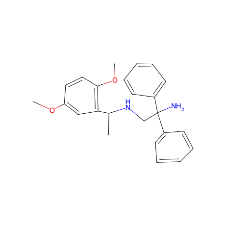 COc1ccc(OC)c(C(C)NCC(N)(c2ccccc2)c2ccccc2)c1